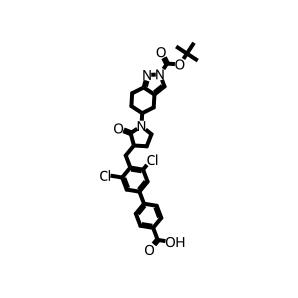 CC(C)(C)OC(=O)n1cc2c(n1)CCC(N1CCC(Cc3c(Cl)cc(-c4ccc(C(=O)O)cc4)cc3Cl)C1=O)C2